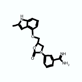 Cc1cc2c(OCC3CN(c4cccc(C(=N)N)c4)C(=O)O3)cccc2[nH]1